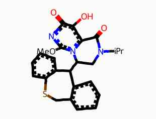 COc1nc(=O)c(O)c2n1C(C1c3ccccc3CSc3ccccc31)CN(C(C)C)C2=O